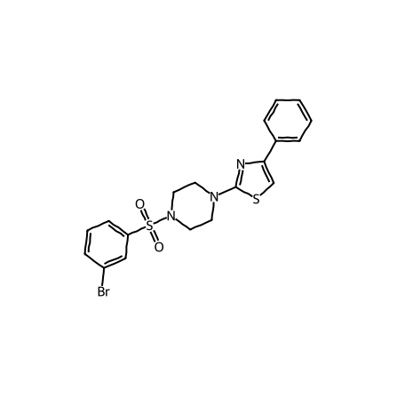 O=S(=O)(c1cccc(Br)c1)N1CCN(c2nc(-c3ccccc3)cs2)CC1